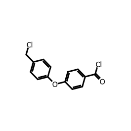 O=C(Cl)c1ccc(Oc2ccc(CCl)cc2)cc1